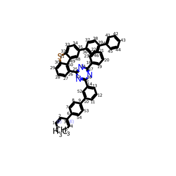 C/C=C\C(=C/C)c1ccc(-c2cccc(-c3nc(-c4ccccc4)nc(-c4cccc5sc6ccc(-c7ccc(-c8ccccc8)cc7)cc6c45)n3)c2)cc1